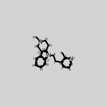 Cc1ncccc1CCn1c2c(c3ccccc31)CN(C)CC2